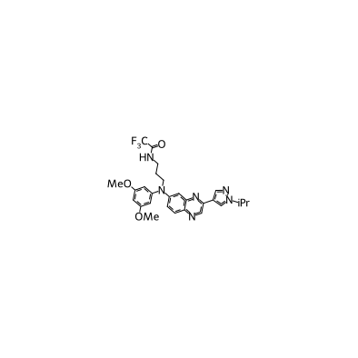 COc1cc(OC)cc(N(CCCNC(=O)C(F)(F)F)c2ccc3ncc(-c4cnn(C(C)C)c4)nc3c2)c1